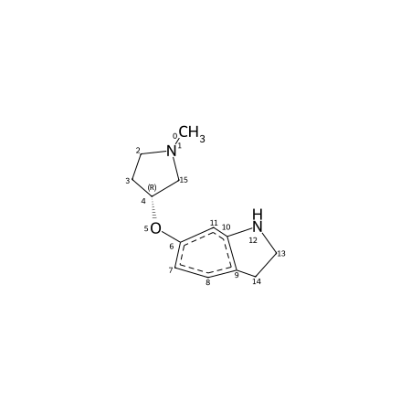 CN1CC[C@@H](Oc2ccc3c(c2)NCC3)C1